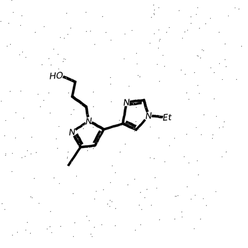 CCn1cnc(-c2cc(C)nn2CCCO)c1